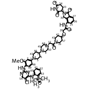 COc1cc(N2CCC(N3CCN(CC(=O)N4CCC(OCC(=O)Nc5cccc6c5CN(C5CCC(=O)NC5=O)C6=O)CC4)CC3)CC2)ccc1Nc1ncc(Cl)c(Nc2ccccc2P(C)(C)=O)n1